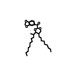 CCCCCCCCCC(C)C1OC(C(=O)c2ccc3c(c2)OCO3)OCC1CCCCCCCCC